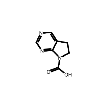 O=C(O)N1CCc2cncnc21